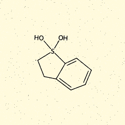 OS1(O)[CH]Cc2ccccc21